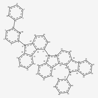 c1ccc(-c2cccc(-n3c4ccccc4c4c(-n5c6ccccc6c6c5ccc5c7ccccc7n(-c7ccccc7)c56)cccc43)n2)cc1